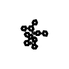 c1ccc(-c2ccc(N(c3cc(-c4ccccc4)cc(-c4ccccc4)c3)c3ccc(-c4ccccc4-n4c5ccccc5c5ccccc54)c4ccccc34)cc2)cc1